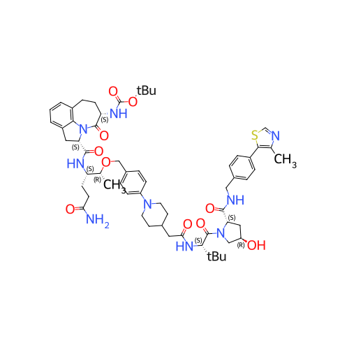 Cc1ncsc1-c1ccc(CNC(=O)[C@@H]2C[C@@H](O)CN2C(=O)[C@@H](NC(=O)CC2CCN(c3ccc(CO[C@H](C)[C@H](CCC(N)=O)NC(=O)[C@@H]4Cc5cccc6c5N4C(=O)[C@@H](NC(=O)OC(C)(C)C)CC6)cc3)CC2)C(C)(C)C)cc1